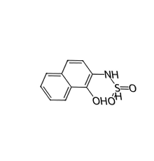 O=[SH](=O)Nc1ccc2ccccc2c1O